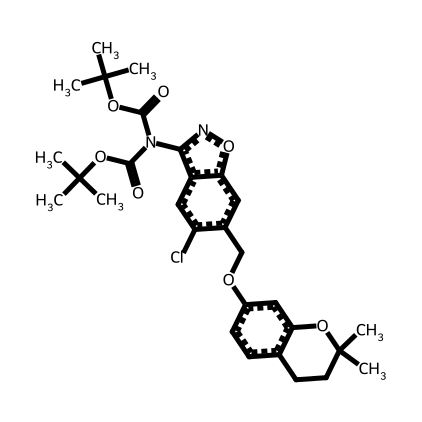 CC(C)(C)OC(=O)N(C(=O)OC(C)(C)C)c1noc2cc(COc3ccc4c(c3)OC(C)(C)CC4)c(Cl)cc12